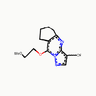 COCCOc1c2c(nc3c(C#N)cnn13)CCCC2